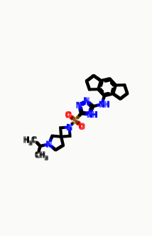 CC(C)N1CCC2(C1)CN(S(=O)(=O)c1nnc(Nc3c4c(cc5c3CCC5)CCC4)[nH]1)C2